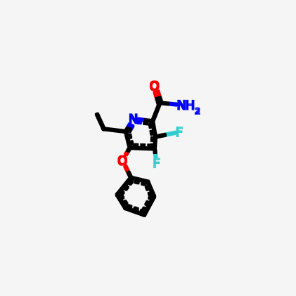 CCc1nc(C(N)=O)c(F)c(F)c1Oc1ccccc1